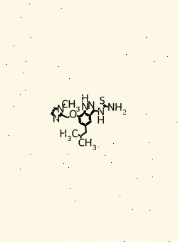 CC(C)Cc1cc(OCc2nccn2C)c2[nH]nc(NC(N)=S)c2c1